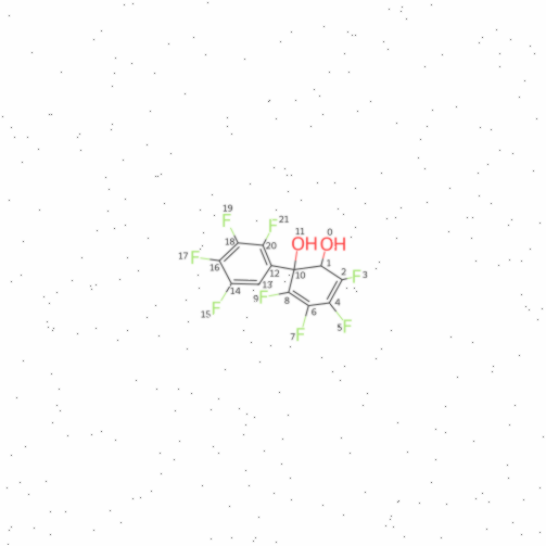 OC1C(F)=C(F)C(F)=C(F)C1(O)c1cc(F)c(F)c(F)c1F